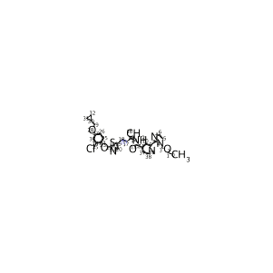 CCOCn1ccnc1-c1cc(C(=O)N[C@@H](C)/C=C/c2cnc(Oc3ccc(OCC4CC4)cc3Cl)s2)ccn1